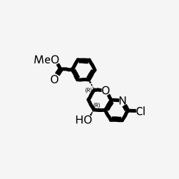 COC(=O)c1cccc([C@H]2C[C@@H](O)c3ccc(Cl)nc3O2)c1